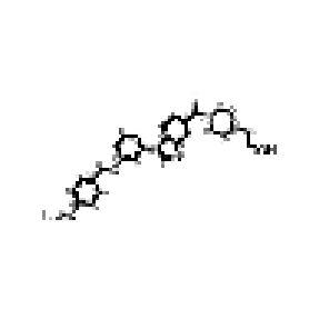 O=C(c1ccc2c(c1)ncn2-c1cccc(OCc2ccc(OC(F)(F)F)cc2)c1)N1CCN(CCO)CC1